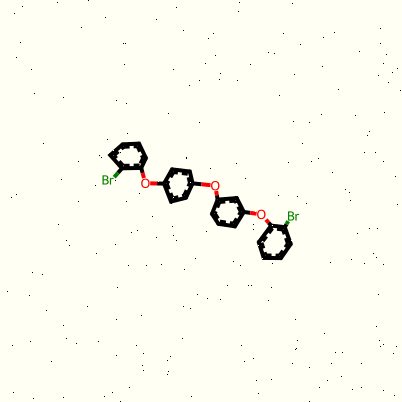 Brc1ccccc1Oc1ccc(Oc2cccc(Oc3ccccc3Br)c2)cc1